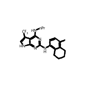 CCCNc1nc(Nc2ccc(C)c3c2CCCC3)nc2[nH]cc(C(F)(F)F)c12